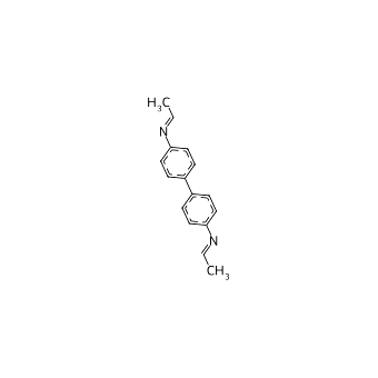 CC=Nc1ccc(-c2ccc(N=CC)cc2)cc1